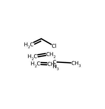 C=C.C=C.C=CCl.CC